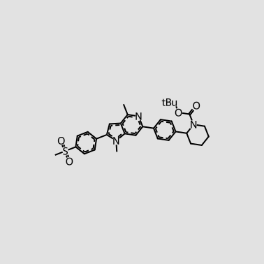 Cc1nc(-c2ccc(C3CCCCN3C(=O)OC(C)(C)C)cc2)cc2c1cc(-c1ccc(S(C)(=O)=O)cc1)n2C